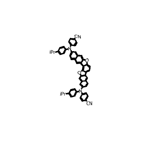 CC(C)c1ccc(N(c2ccc(C#N)cc2)c2ccc3cc4c(cc3c2)oc2c4ccc3oc4cc5cc(N(c6ccc(C#N)cc6)c6ccc(C(C)C)cc6)ccc5cc4c32)cc1